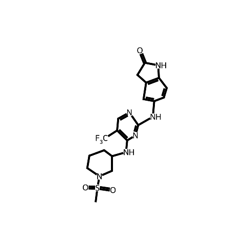 CS(=O)(=O)N1CCCC(Nc2nc(Nc3ccc4c(c3)CC(=O)N4)ncc2C(F)(F)F)C1